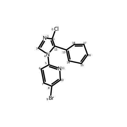 Clc1ncn(-c2ccc(Br)cn2)c1-c1ccccc1